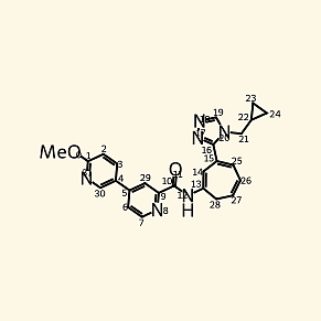 COc1ccc(-c2ccnc(C(=O)NC3=CC(c4nncn4CC4CC4)=CC=CC3)c2)cn1